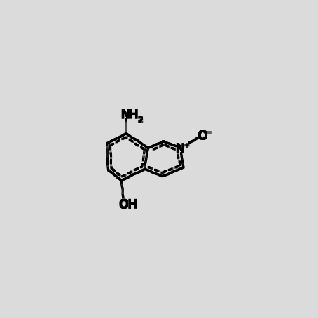 Nc1ccc(O)c2cc[n+]([O-])cc12